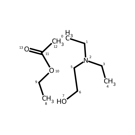 CCN(CC)CCO.CCOC(C)=O